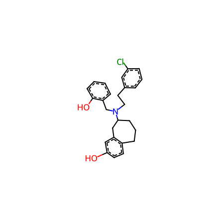 Oc1ccc2c(c1)CC(N(CCc1cccc(Cl)c1)Cc1ccccc1O)CCC2